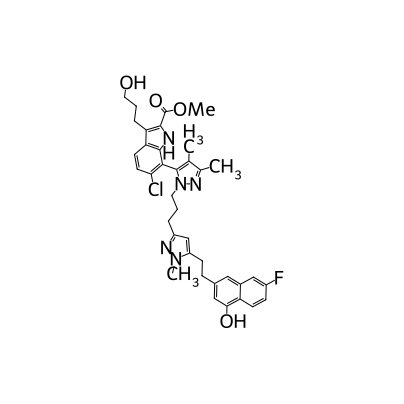 COC(=O)c1[nH]c2c(-c3c(C)c(C)nn3CCCc3cc(CCc4cc(O)c5ccc(F)cc5c4)n(C)n3)c(Cl)ccc2c1CCCO